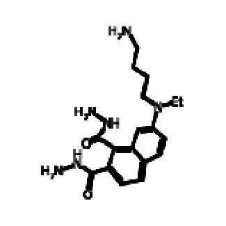 CCN(CCCCN)c1ccc2ccc(C(=O)NN)c(C(=O)NN)c2c1